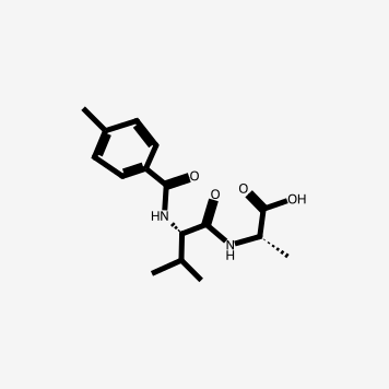 Cc1ccc(C(=O)N[C@H](C(=O)N[C@@H](C)C(=O)O)C(C)C)cc1